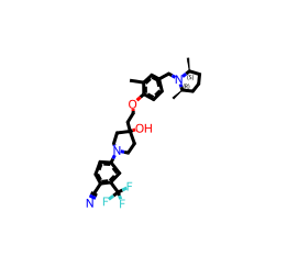 Cc1cc(CN2[C@H](C)CCC[C@@H]2C)ccc1OCCC1(O)CCN(c2ccc(C#N)c(C(F)(F)F)c2)CC1